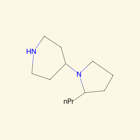 CCCC1CCCN1C1CCNCC1